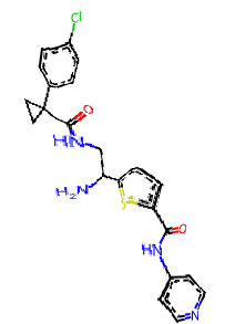 NC(CNC(=O)C1(c2ccc(Cl)cc2)CC1)c1ccc(C(=O)Nc2ccncc2)s1